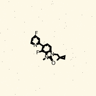 Cn1c(=O)n(CC2(C)CC2)c2ccc(-c3cc(F)ccn3)c(F)c21